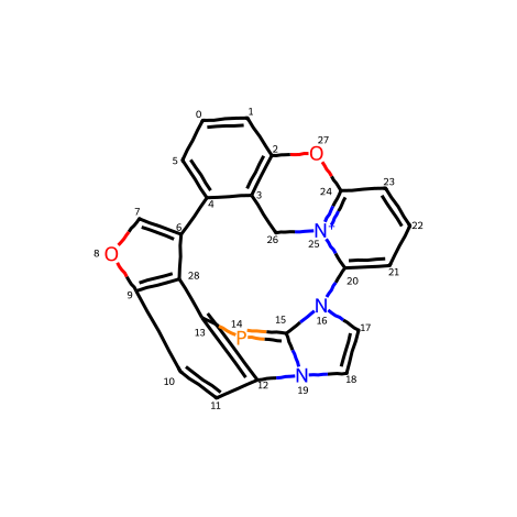 c1cc2c3c(c1)-c1coc4ccc5c(pc6n(ccn56)-c5cccc([n+]5C3)O2)c14